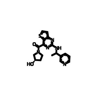 CC(Nc1nc(C(=O)N2CC[C@H](O)C2)c2sccc2n1)c1cccnc1